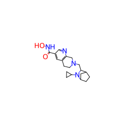 O=C(NO)c1cnc2c(c1)CCN(CC1C3CCC(C3)N1C1CC1)C2